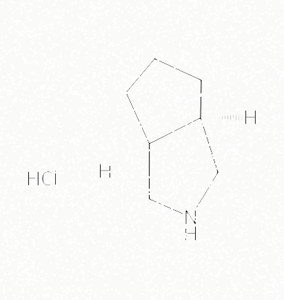 C1C[C@@H]2CNC[C@@H]2C1.Cl